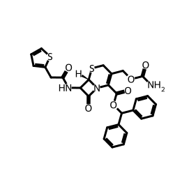 NC(=O)OCC1=C(C(=O)OC(c2ccccc2)c2ccccc2)N2C(=O)C(NC(=O)Cc3cccs3)[C@@H]2SC1